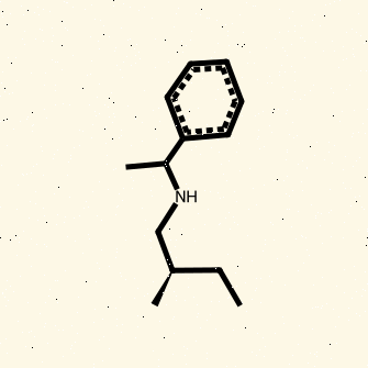 CC[C@@H](C)CNC(C)c1ccccc1